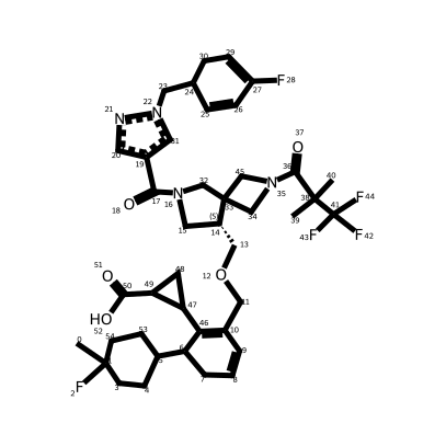 CC1(F)CCC(C2CC=CC(COC[C@@H]3CN(C(=O)c4cnn(CC5C=CC(F)=CC5)c4)CC34CN(C(=O)C(C)(C)C(F)(F)F)C4)=C2C2CC2C(=O)O)CC1